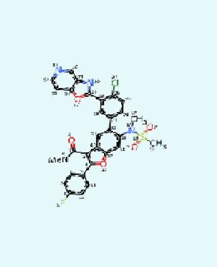 CNC(=O)c1c(-c2ccc(F)cc2)oc2cc(N(C)S(C)(=O)=O)c(-c3ccc(Cl)c(-c4nc5cnccc5o4)c3)cc12